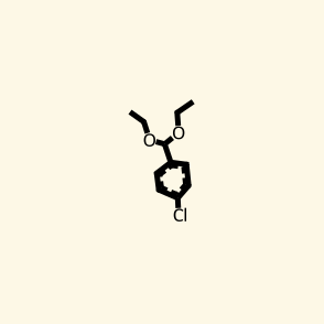 CCOC(OCC)c1ccc(Cl)cc1